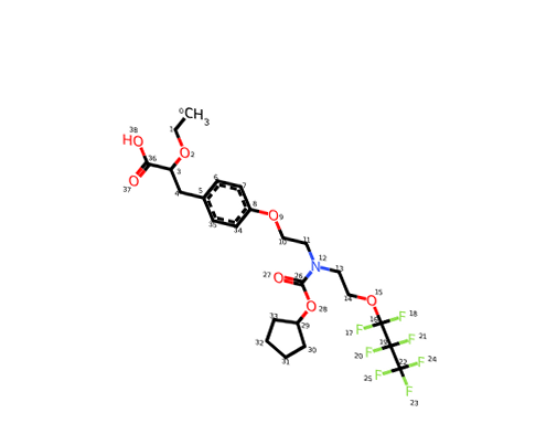 CCOC(Cc1ccc(OCCN(CCOC(F)(F)C(F)(F)C(F)(F)F)C(=O)OC2CCCC2)cc1)C(=O)O